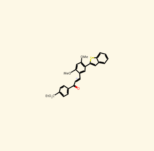 CCOC(=O)c1ccc(C(=O)/C=C/c2cc(-c3cc4ccccc4s3)c(OC)cc2OC)cc1